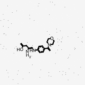 C=C(O)C/C(N)=C/Nc1ccc(C(=C)N2CCOCC2)cc1